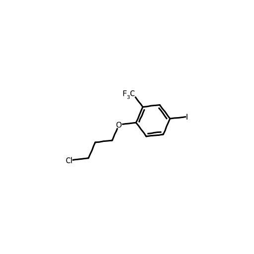 FC(F)(F)c1cc(I)ccc1OCCCCl